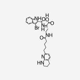 O=C(CCCCc1ccc2c(n1)NCCC2)NCC[C@H](NC(=O)c1[nH]c2ccccc2c1Br)C(=O)O